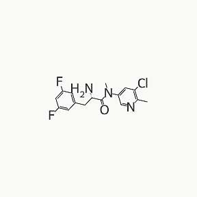 Cc1ncc(N(C)C(=O)[C@@H](N)Cc2cc(F)cc(F)c2)cc1Cl